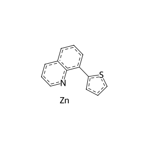 [Zn].c1csc(-c2cccc3cccnc23)c1